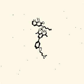 C=CCCCN(C(=O)Nc1c(C(C)C)cc(-c2cccc(OCCCN(C)C)c2)cc1C(C)C)c1cc2cccnc2[nH]c1=O